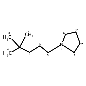 CC(C)(C)CCCN1CCCC1